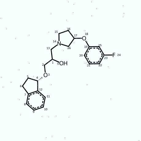 OC(CO[C@H]1CCc2ccccc21)CN1CCC(Oc2cccc(F)c2)C1